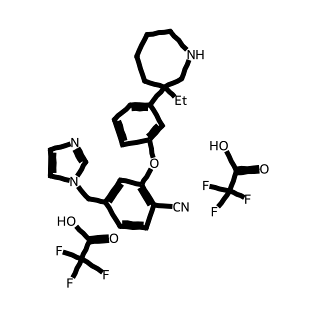 CCC1(c2cccc(Oc3cc(Cn4ccnc4)ccc3C#N)c2)CCCCNC1.O=C(O)C(F)(F)F.O=C(O)C(F)(F)F